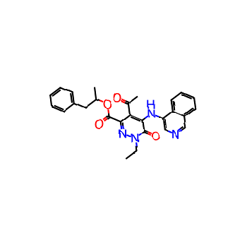 CCn1nc(C(=O)OC(C)Cc2ccccc2)c(C(C)=O)c(Nc2cncc3ccccc23)c1=O